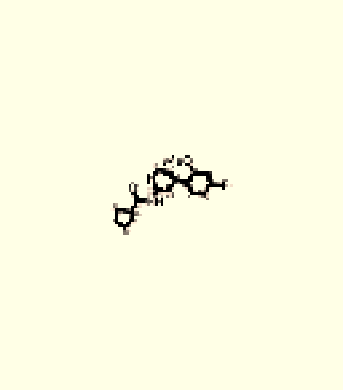 COc1cc(F)ccc1-c1ccnc(NC(=O)C2CCCC2)c1